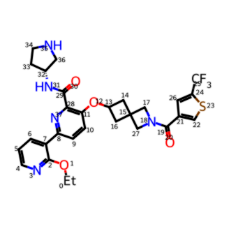 CCOc1ncccc1-c1ccc(OC2CC3(C2)CN(C(=O)c2csc(C(F)(F)F)c2)C3)c(C(=O)N[C@@H]2CCNC2)n1